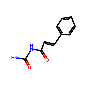 [NH]C(=O)NC(=O)/C=C/c1ccccc1